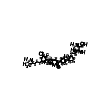 C[C@H](N)CCCc1cc(Cl)c(F)c(-c2cc3cn(-c4ccc([C@@H]5CCC[C@@H](CCNC(=N)[C@H](N)CO)N5)cc4)c(=O)nc3[nH]2)c1